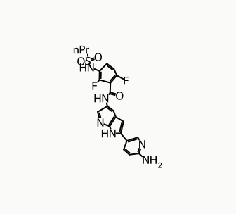 CCCS(=O)(=O)Nc1ccc(F)c(C(=O)Nc2cnc3[nH]c(-c4ccc(N)nc4)cc3c2)c1F